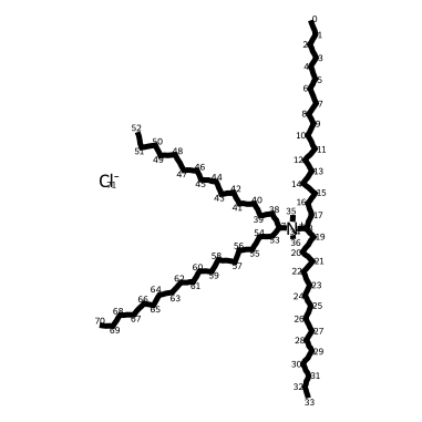 CCCCCCCCCCCCCCCCCCC(CCCCCCCCCCCCCCC)[N+](C)(C)C(CCCCCCCCCCCCCCC)CCCCCCCCCCCCCCCCCC.[Cl-]